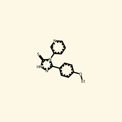 CCOc1ccc(-c2n[nH]c(=S)n2-c2cccnc2)cc1